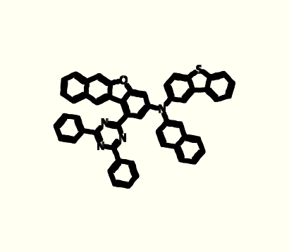 c1ccc(-c2nc(-c3ccccc3)nc(-c3cc(N(c4ccc5ccccc5c4)c4ccc5sc6ccccc6c5c4)cc4oc5cc6ccccc6cc5c34)n2)cc1